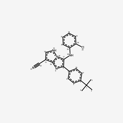 CC(C)(C)c1ccc(-c2nc3c(C#N)c[nH]n3c2Nc2ccccc2Cl)cc1